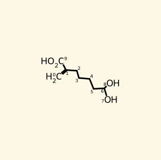 C=C(CCCCC(O)O)C(=O)O